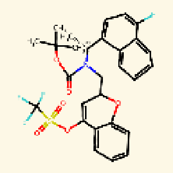 C[C@H](c1ccc(F)c2ccccc12)N(CC1C=C(OS(=O)(=O)C(F)(F)F)c2ccccc2O1)C(=O)OC(C)(C)C